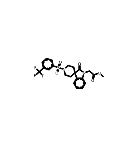 COC(=O)CN1C(=O)C2(CCN(S(=O)(=O)c3cccc(C(F)(F)F)c3)CC2)c2ccccc21